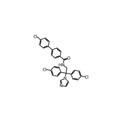 O=C(NCC(c1ccc(Cl)cc1)(c1ccc(Cl)cc1)n1ccnc1)c1ccc(-c2ccc(Cl)cc2)cc1